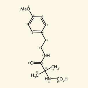 COc1ccc(CCNC(=O)C(C)(C)NC(=O)O)cc1